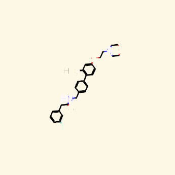 Cc1cc(OCCN2CCOCC2)ccc1-c1ccc(CNC(=O)Cc2cccc(F)c2)cc1